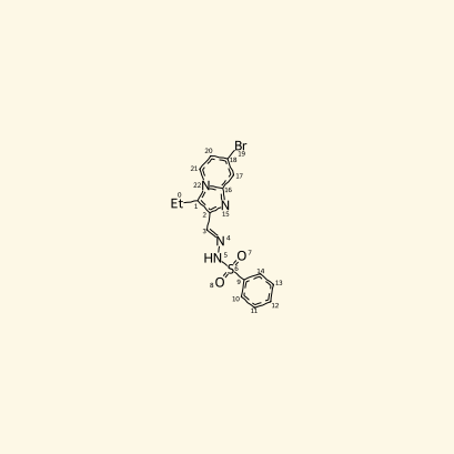 CCc1c(C=NNS(=O)(=O)c2ccccc2)nc2cc(Br)ccn12